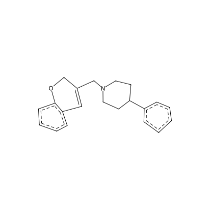 C1=C(CN2CCC(c3ccccc3)CC2)COc2ccccc21